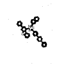 C1=CC(c2ccc(-c3nc(-c4ccc5ccccc5c4)nc(-c4cc(-c5ccccc5)cc5oc6ccccc6c45)n3)cc2)CC=C1c1ccccc1